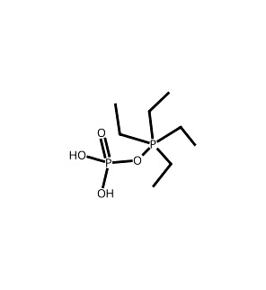 CCP(CC)(CC)(CC)OP(=O)(O)O